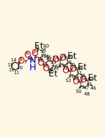 CCC1OC(NC(=O)COc2ccccc2)C(O[C@H]2OC(CC)[C@@H](C)[C@H](O[C@H]3OC(CC)[C@@H](C)[C@H](O[C@H]4OC(CC)[C@@H](C)[C@H](O[C@H]5OC(CC)[C@@H](C)[C@H](C)C5C)C4C)C3C)C2C)[C@@H](C)[C@@H]1C